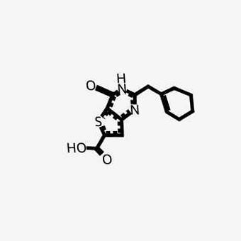 O=C(O)c1cc2nc(CC3=CCCCC3)[nH]c(=O)c2s1